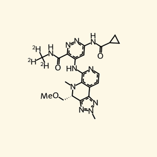 [2H]C([2H])([2H])NC(=O)c1nnc(NC(=O)C2CC2)cc1Nc1nccc2c1N(C)[C@@H](COC)c1nn(C)nc1-2